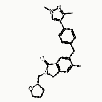 Cc1cc2c(cc1Cc1ccc(-c3cn(C)nc3C)cc1)C(=O)N(CC1CCCO1)C2